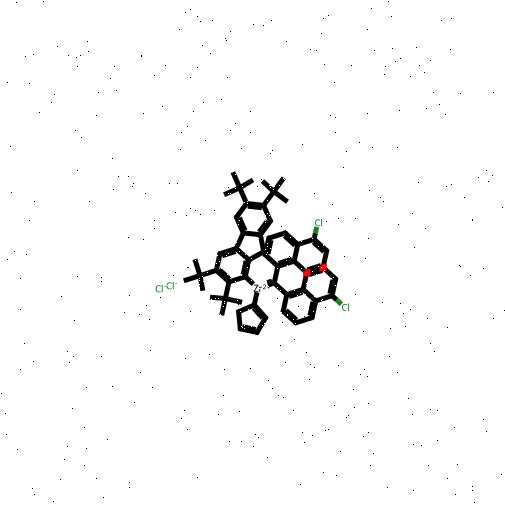 CC(C)(C)c1cc2c(cc1C(C)(C)C)-c1cc(C(C)(C)C)c(C(C)(C)C)[c]([Zr+2]([C]3=CC=CC3)=[C](c3cccc4c(Cl)cccc34)c3cccc4c(Cl)cccc34)c1C2.[Cl-].[Cl-]